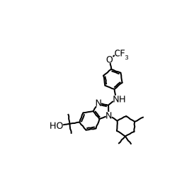 CC1CC(n2c(Nc3ccc(OC(F)(F)F)cc3)nc3cc(C(C)(C)O)ccc32)CC(C)(C)C1